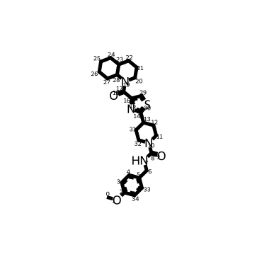 COc1ccc(CNC(=O)N2CCC(c3nc(C(=O)N4CCCC5CCCCC54)cs3)CC2)cc1